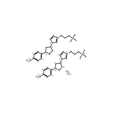 C[Si](C)(C)CCC[n+]1ccn(C2CCN(c3ccc(N)cc3)C2)c1.C[Si](C)(C)CCC[n+]1ccn(C2CCN(c3ccc(N)cc3)C2)c1.[Cl-].[Cl-]